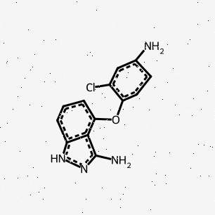 Nc1ccc(Oc2cccc3[nH]nc(N)c23)c(Cl)c1